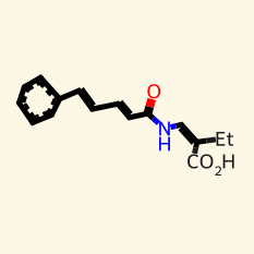 CCC(=CNC(=O)C=CC=Cc1ccccc1)C(=O)O